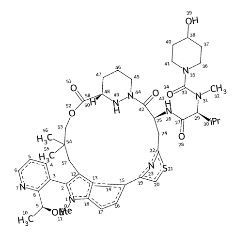 CCn1c(-c2cccnc2[C@H](C)OC)c2c3cc(ccc31)-c1csc(n1)C[C@H](NC(=O)[C@H](C(C)C)N(C)C(=O)N1CCC(O)CC1)C(=O)N1CCC[C@H](N1)C(=O)OCC(C)(C)C2